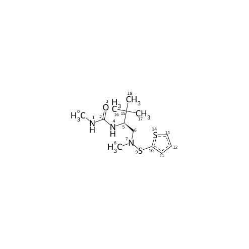 CNC(=O)N[C@H](CN(C)Sc1cccs1)C(C)(C)C